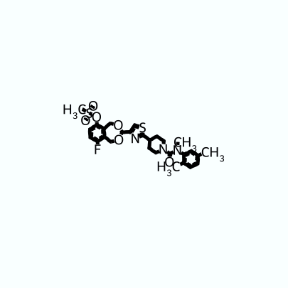 Cc1ccc(C)c(N(C)C(=O)N2CCC(c3nc(C4OCc5c(F)ccc(OS(C)(=O)=O)c5CO4)cs3)CC2)c1